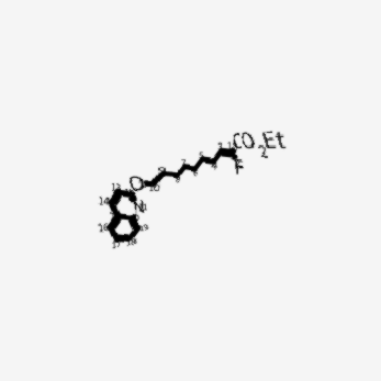 CCOC(=O)C(F)=CCCCCCCCOc1ccc2ccccc2n1